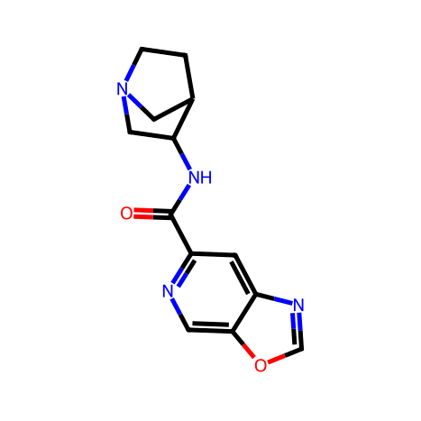 O=C(NC1CN2CCC1C2)c1cc2ncoc2cn1